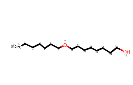 CCCCCCCCCCCCCCCCOCCCCCCCCO